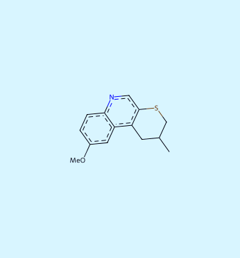 COc1ccc2ncc3c(c2c1)CC(C)CS3